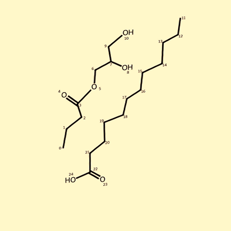 CCCC(=O)OCC(O)CO.CCCCCCCCCCCC(=O)O